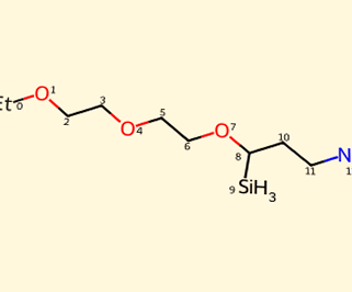 CCOCCOCCOC([SiH3])CCN